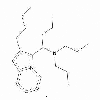 CCCCc1cc2ccccn2c1[C](CCC)N(CCC)CCC